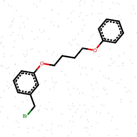 BrCc1cccc(OCCCCOc2ccccc2)c1